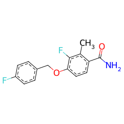 Cc1c(C(N)=O)ccc(OCc2ccc(F)cc2)c1F